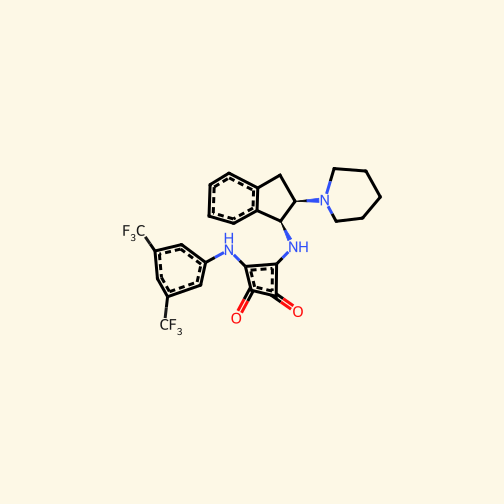 O=c1c(Nc2cc(C(F)(F)F)cc(C(F)(F)F)c2)c(N[C@H]2c3ccccc3C[C@H]2N2CCCCC2)c1=O